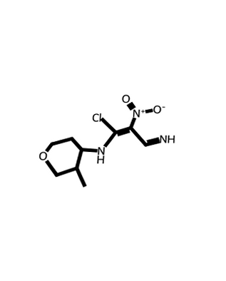 CC1COCCC1N/C(Cl)=C(\C=N)[N+](=O)[O-]